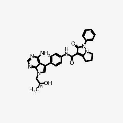 C[C@H](O)Cn1cc(-c2ccc(NC(=O)c3c4n(n(-c5ccccc5)c3=O)CCC4)cc2)c2c(N)ncnc21